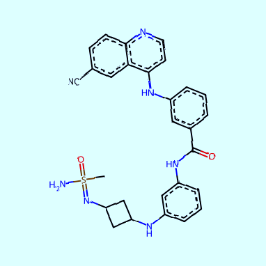 CS(N)(=O)=NC1CC(Nc2cccc(NC(=O)c3cccc(Nc4ccnc5ccc(C#N)cc45)c3)c2)C1